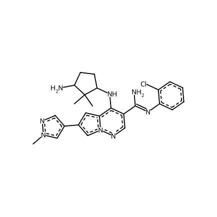 Cn1cc(-c2cc3c(NC4CCC(N)C4(C)C)c(/C(N)=N/c4ccccc4Cl)cnn3c2)cn1